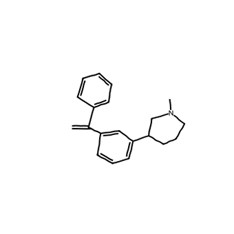 C=C(c1ccccc1)c1cccc(C2CCCN(C)C2)c1